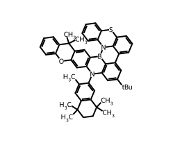 Cc1cc2c(cc1N1c3cc4c(cc3B3c5c(cc(C(C)(C)C)cc51)-c1cccc5c1N3c1ccccc1S5)C(C)(C)c1ccccc1O4)C(C)(C)CCC2(C)C